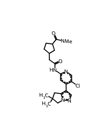 CNC(=O)C1CCC(CC(=O)Nc2cc(-c3cnn4c3CC(C)(C)C4)c(Cl)cn2)C1